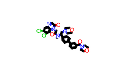 CN(C(=O)Cn1c(=O)cnc2cc(Cl)c(Cl)cc21)C(CN1CCOCC1)c1ccc(-c2cccc(C(=O)N3CCOCC3)c2)cc1